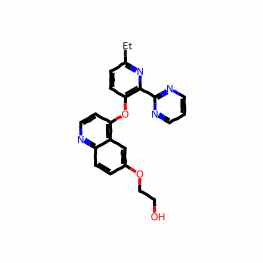 CCc1ccc(Oc2ccnc3ccc(OCCO)cc23)c(-c2ncccn2)n1